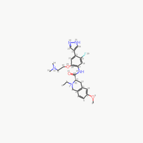 CCN1Cc2ccc(OC)cc2C[C@@H]1C(=O)Nc1cc(F)c(-c2cn[nH]c2)cc1OCCN(C)C